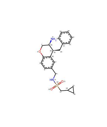 N[C@@H]1COc2ccc(CNS(=O)(=O)CC3CC3)cc2[C@@H]1Cc1ccccc1